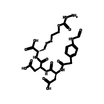 NNC(=O)OCCSSC[C@H](NC(=O)[C@H](CC(=O)O)NC(=O)[C@H](CC(=O)O)NC(=O)Cc1ccc(NC=O)cc1)C(=O)O